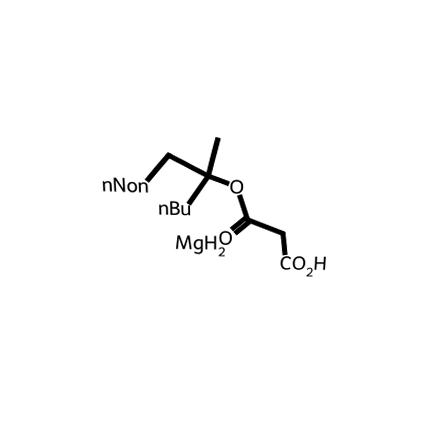 CCCCCCCCCCC(C)(CCCC)OC(=O)CC(=O)O.[MgH2]